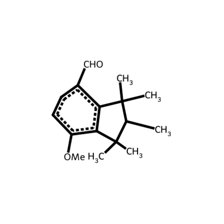 COc1ccc(C=O)c2c1C(C)(C)C(C)C2(C)C